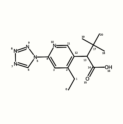 CCc1cc(-n2cnnn2)ncc1C(C(=O)O)C(C)(C)C